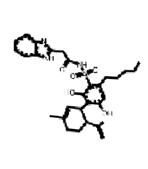 C=C(C)C1CCC(C)=CC1c1c(O)cc(CCCCC)c(S(=O)(=O)NC(=O)Cc2nc3ccccc3[nH]2)c1O